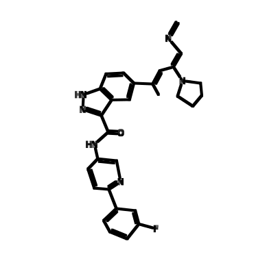 C=N/C=C(\C=C(/C)c1ccc2[nH]nc(C(=O)Nc3ccc(-c4cccc(F)c4)nc3)c2c1)N1CCCC1